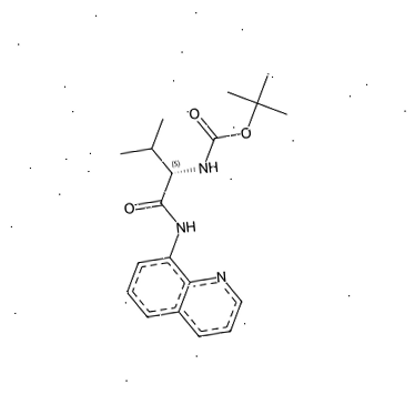 CC(C)[C@H](NC(=O)OC(C)(C)C)C(=O)Nc1cccc2cccnc12